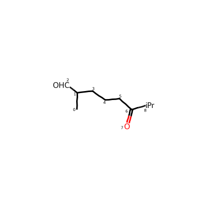 CC(C=O)CCCC(=O)C(C)C